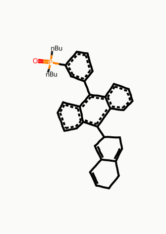 CCCCP(=O)(CCCC)c1cccc(-c2c3ccccc3c(C3C=C4C=CCCC4=CC3)c3ccccc23)c1